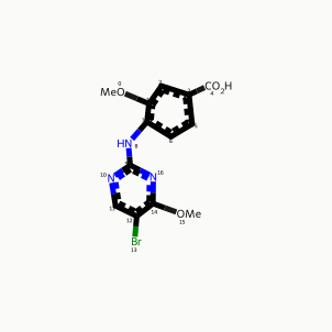 COc1cc(C(=O)O)ccc1Nc1ncc(Br)c(OC)n1